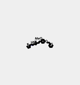 COc1cc(OCCc2ccccn2)ccc1C=Cc1cc(/C=C/c2cccn2C)[nH]n1